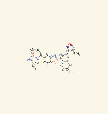 COCC(c1ccc2oc(C(NC(=O)c3nonc3C)C3CCC(F)CC3)nc2c1)N1CC(C(F)(F)F)NC1=O